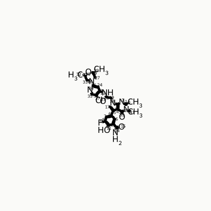 Cc1nc2c(c(-c3cc(F)c(O)c(C(N)=O)c3)cn2CC(=O)Nc2cc(N3C[C@@H](C)O[C@@H](C)C3)ncc2Cl)c(=O)n1C